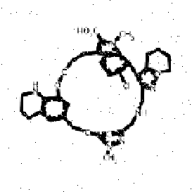 Cn1nc2cc1CCc1cc3c(c(c1)OCCCc1c(C(=O)O)n(C)c4c(c(Cl)ccc14)-c1c(nn4c1CCCC4)CNC2)NCCC3